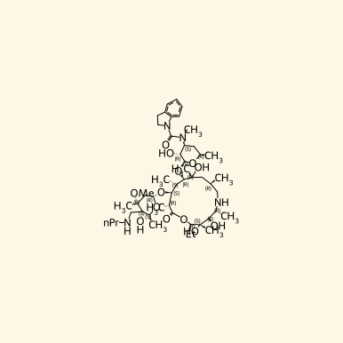 CCCNC[C@]1(O)[C@H](C)O[C@@H](O[C@H]2[C@H](C)[C@@H](O[C@@H]3O[C@H](C)C[C@H](N(C)C(=O)N4CCc5ccccc54)[C@H]3O)[C@](C)(O)C[C@@H](C)CN[C@H](C)[C@@H](O)[C@](C)(O)[C@@H](CC)OC(=O)[C@@H]2C)C[C@@]1(C)OC